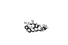 C=CNc1sc(SNC2(C)CC2)cc1C(=C)N(CCC=N)Cc1cnc2c(c1)CCC2